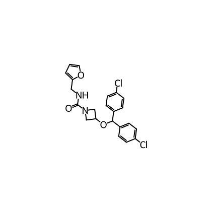 O=C(NCc1ccco1)N1CC(OC(c2ccc(Cl)cc2)c2ccc(Cl)cc2)C1